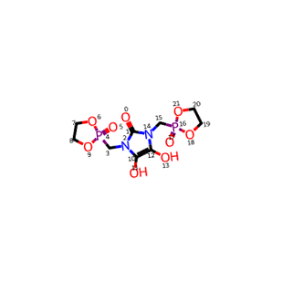 O=c1n(CP2(=O)OCCO2)c(O)c(O)n1CP1(=O)OCCO1